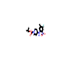 Cc1cc(NC2CCN(C(=O)OCC(C)C)CC2)c([N+](=O)[O-])cc1F